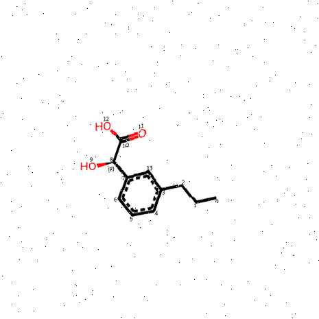 CCCc1cccc([C@@H](O)C(=O)O)c1